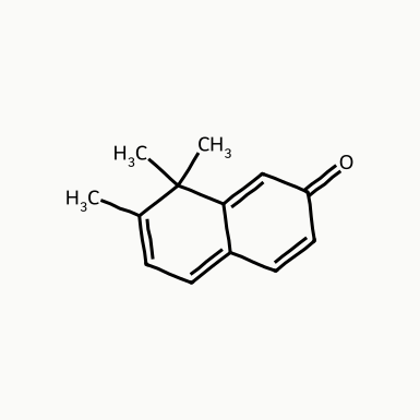 CC1=CC=C2C=CC(=O)C=C2C1(C)C